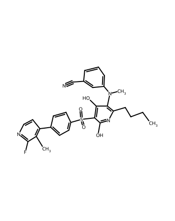 CCCCc1nc(O)c(S(=O)(=O)c2ccc(-c3ccnc(F)c3C)cc2)c(O)c1N(C)c1cccc(C#N)c1